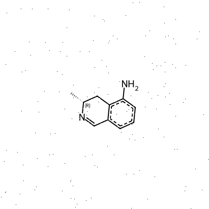 C[C@@H]1Cc2c(N)cccc2C=N1